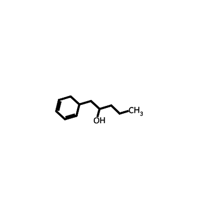 CCCC(O)CC1C=CC=CC1